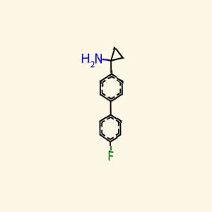 NC1(c2ccc(-c3ccc(F)cc3)cc2)CC1